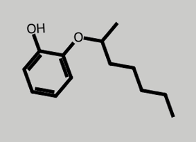 CCCCCC(C)Oc1ccccc1O